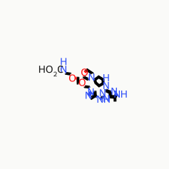 Cc1[nH]nc2c(NC3CCC(N4CCOCC4)CC3)nc(Nc3cnn(CCOCCOCCNC(=O)O)c3)nc12